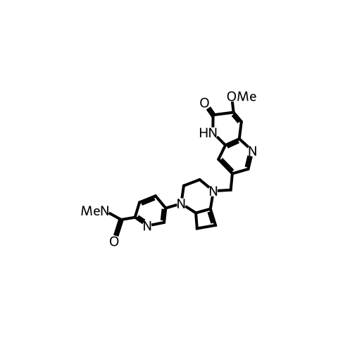 CNC(=O)c1ccc(N2CCN(Cc3cnc4cc(OC)c(=O)[nH]c4c3)C3=CCC32)cn1